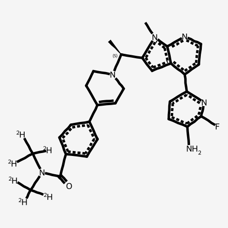 [2H]C([2H])([2H])N(C(=O)c1ccc(C2=CCN([C@@H](C)c3cc4c(-c5ccc(N)c(F)n5)ccnc4n3C)CC2)cc1)C([2H])([2H])[2H]